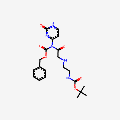 CC(C)(C)OC(=O)NCCNCC(=O)N(C(=O)OCc1ccccc1)c1cc[nH]c(=O)n1